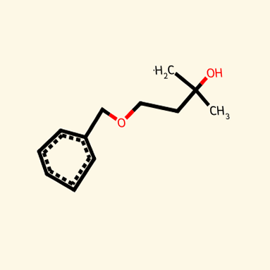 [CH2]C(C)(O)CCOCc1ccccc1